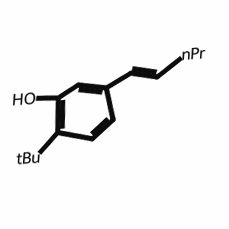 CCCC=Cc1ccc(C(C)(C)C)c(O)c1